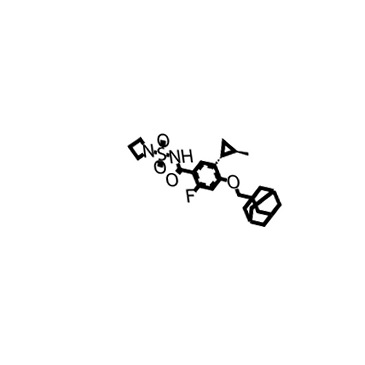 C[C@@H]1C[C@H]1c1cc(C(=O)NS(=O)(=O)N2CCC2)c(F)cc1OCC12CC3CC(CC(C3)C1)C2